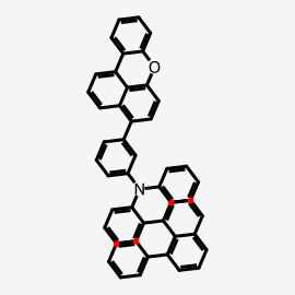 c1ccc(-c2cccc3cccc(-c4ccccc4N(c4ccccc4)c4cccc(-c5ccc6c7c(cccc57)-c5ccccc5O6)c4)c23)cc1